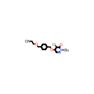 CC(C)(C)n1ncc(OCc2ccc(COCCN=O)cc2)c(Cl)c1=O